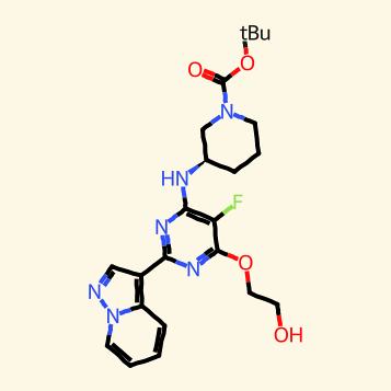 CC(C)(C)OC(=O)N1CCC[C@@H](Nc2nc(-c3cnn4ccccc34)nc(OCCO)c2F)C1